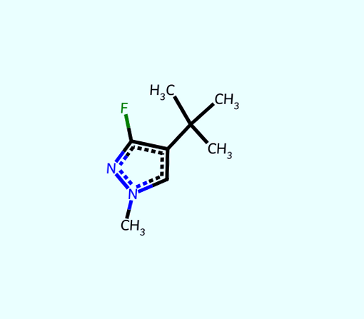 Cn1cc(C(C)(C)C)c(F)n1